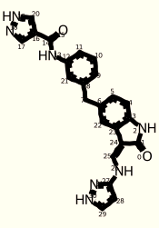 O=C1Nc2ccc(Cc3cccc(NC(=O)c4cn[nH]c4)c3)cc2/C1=C/Nc1cc[nH]n1